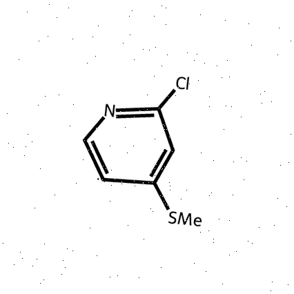 CSc1[c]cnc(Cl)c1